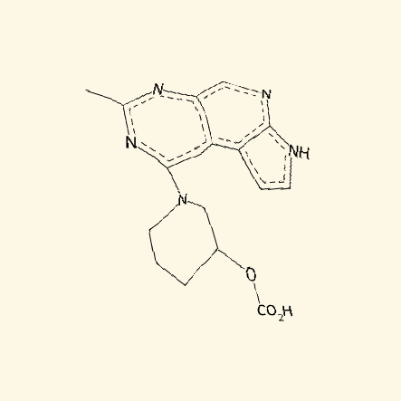 Cc1nc(N2CCCC(OC(=O)O)C2)c2c(cnc3[nH]ccc32)n1